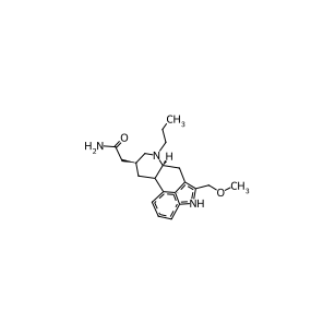 CCCN1C[C@H](CC(N)=O)CC2c3cccc4[nH]c(COC)c(c34)C[C@H]21